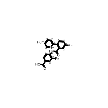 Cl.O=C(O)c1ccc(NC(=O)c2cc(F)ccc2-c2ccccn2)c(F)c1